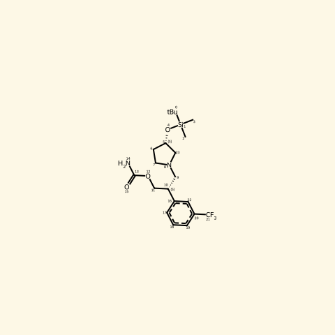 CC(C)(C)[Si](C)(C)O[C@H]1CCN(C[C@@H](COC(N)=O)c2cccc(C(F)(F)F)c2)C1